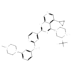 CN1CCN(c2cccc(Nc3cc(-c4nc(N5CCN[C@@H](C(F)(F)F)C5)c5c(C6CC6)cncc5n4)ccn3)c2)CC1